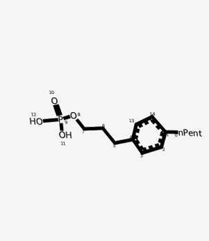 CCCCCc1ccc(CCCOP(=O)(O)O)cc1